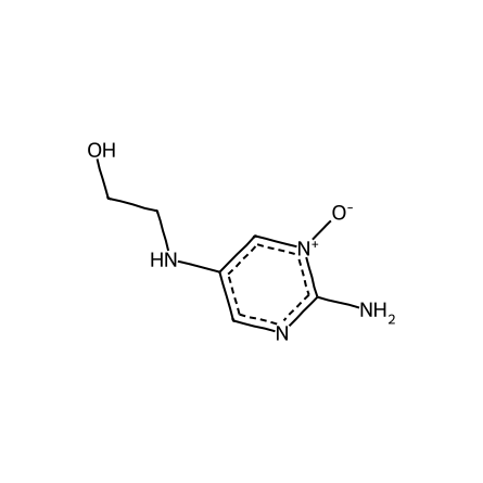 Nc1ncc(NCCO)c[n+]1[O-]